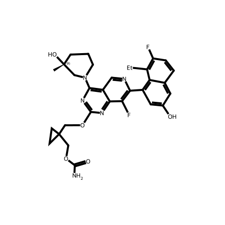 CCc1c(F)ccc2cc(O)cc(-c3ncc4c(N5CCC[C@@](C)(O)C5)nc(OCC5(COC(N)=O)CC5)nc4c3F)c12